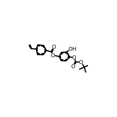 C=Cc1ccc(C(=O)Oc2ccc(OC(=O)OC(C)(C)C)c(O)c2)cc1